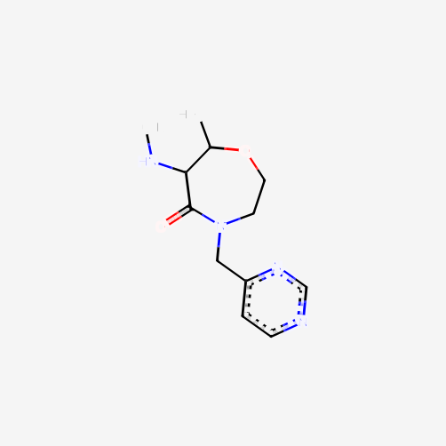 CNC1C(=O)N(Cc2ccncn2)CCOC1C